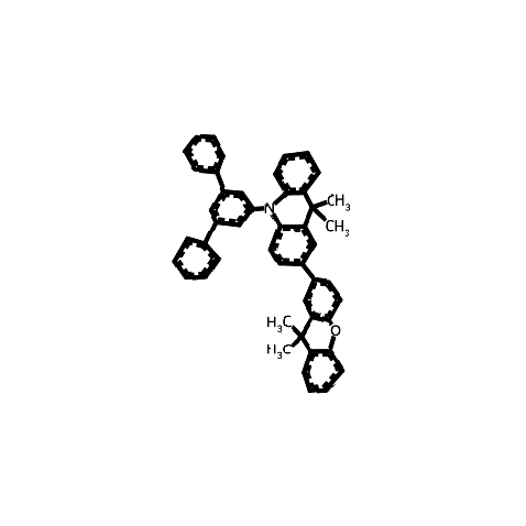 CC1(C)c2ccccc2Oc2ccc(-c3ccc4c(c3)C(C)(C)c3ccccc3N4c3cc(-c4ccccc4)cc(-c4ccccc4)c3)cc21